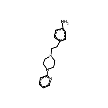 Nc1ccc(CCN2CCN(c3ccccn3)CC2)cc1